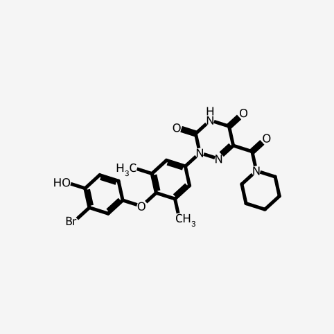 Cc1cc(-n2nc(C(=O)N3CCCCC3)c(=O)[nH]c2=O)cc(C)c1Oc1ccc(O)c(Br)c1